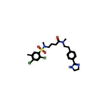 Cc1cc(S(=O)(=O)N(C)CCCC(=O)N(C)CCc2ccc(C3=NCCN3)cc2)c(Cl)cc1Cl